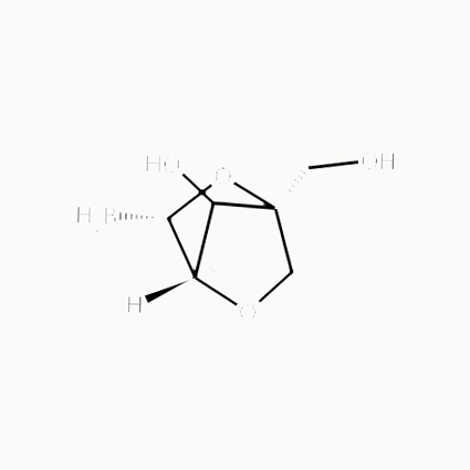 B[C@@H]1O[C@@]2(CO)CO[C@H]1C2O